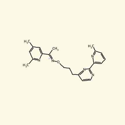 C/C(=N\OCCCc1ccnc(-c2cccc(C)n2)n1)c1cc(C)cc(C)n1